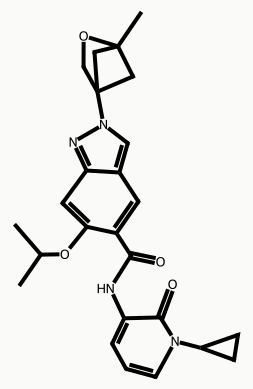 CC(C)Oc1cc2nn(C34COC(C)(C3)C4)cc2cc1C(=O)Nc1cccn(C2CC2)c1=O